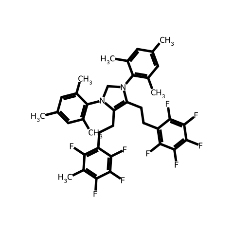 Cc1cc(C)c(N2CN(c3c(C)cc(C)cc3C)C(CCc3c(F)c(F)c(F)c(F)c3F)=C2CCc2c(F)c(C)c(F)c(F)c2F)c(C)c1